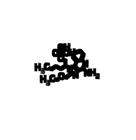 CCCCC(COP(=O)(O)O)n1c(COCC)nc2c(N)nc3ccccc3c21